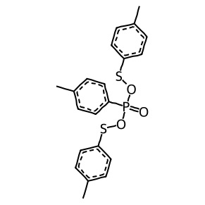 Cc1ccc(SOP(=O)(OSc2ccc(C)cc2)c2ccc(C)cc2)cc1